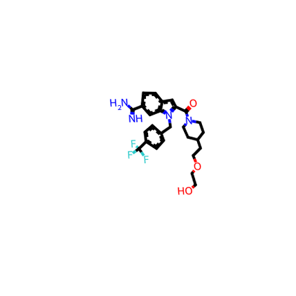 N=C(N)c1ccc2cc(C(=O)N3CCC(CCOCCO)CC3)n(Cc3ccc(C(F)(F)F)cc3)c2c1